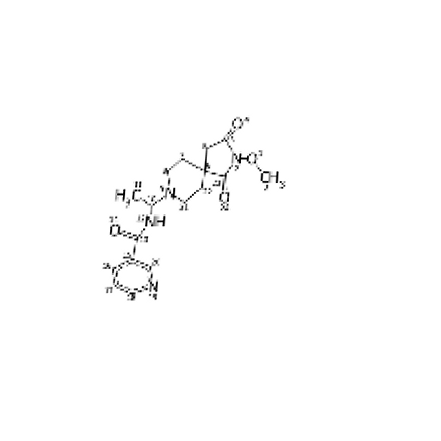 CON1C(=O)CC2(CCN(C(C)NC(=O)c3cccnc3)CC2)C1=O